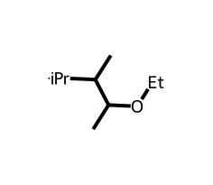 CCOC(C)C(C)[C](C)C